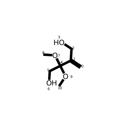 C=C(CO)C(CO)(OC)OC